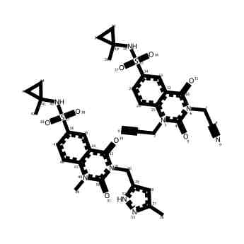 C#CCn1c(=O)n(CC#N)c(=O)c2cc(S(=O)(=O)NC3(C)CC3)ccc21.Cc1cc(Cn2c(=O)c3cc(S(=O)(=O)NC4(C)CC4)ccc3n(C)c2=O)[nH]n1